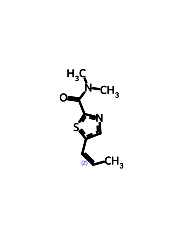 C/C=C\c1cnc(C(=O)N(C)C)s1